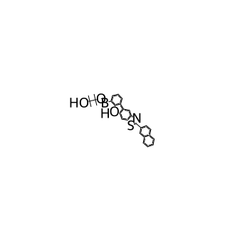 CC(C)(O)C(C)(C)OBc1cccc2c1oc1cc3sc(-c4ccc5ccccc5c4)nc3cc12